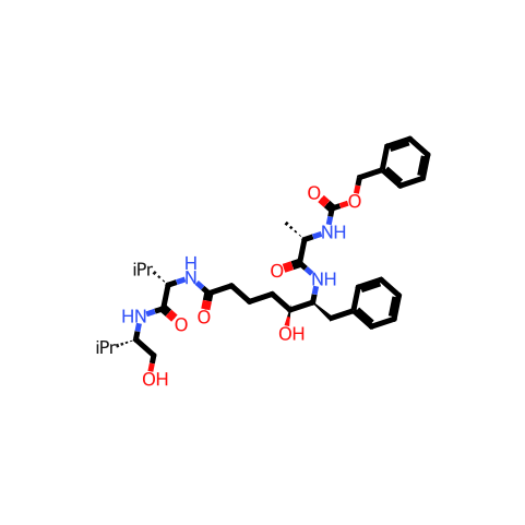 CC(C)[C@H](NC(=O)CCC[C@H](O)[C@H](Cc1ccccc1)NC(=O)[C@H](C)NC(=O)OCc1ccccc1)C(=O)N[C@H](CO)C(C)C